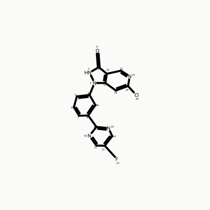 O=c1[nH]n(-c2cccc(-c3ncc(F)cn3)c2)c2cc(Cl)ncc12